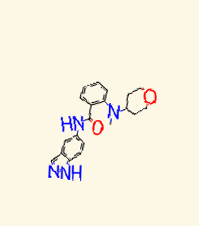 CN(c1ccccc1C(=O)Nc1ccc2[nH]ncc2c1)C1CCOCC1